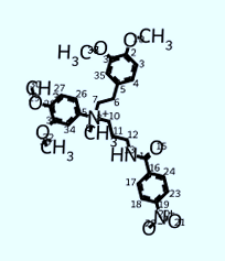 COc1ccc(CC[N+](C)(CCCNC(=O)c2ccc([N+](=O)[O-])cc2)c2ccc(OC)c(OC)c2)cc1OC